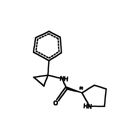 O=C(NC1(c2ccccc2)CC1)[C@H]1CCCN1